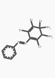 CCC1=C(CC)C(N)(CC)C(N)C(CC)=C1N=Nc1ccccc1